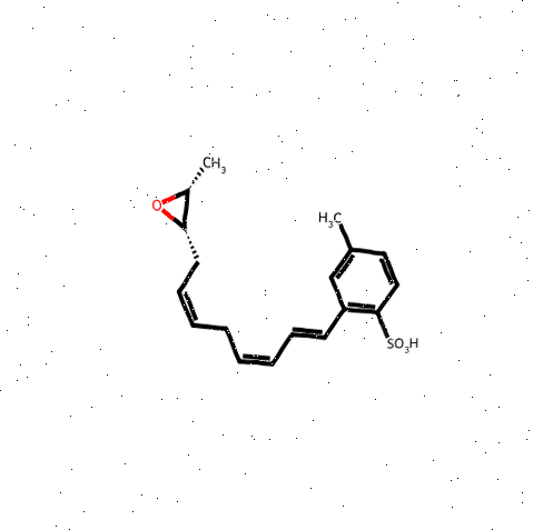 Cc1ccc(S(=O)(=O)O)c(C=C/C=C\C/C=C\C[C@@H]2O[C@@H]2C)c1